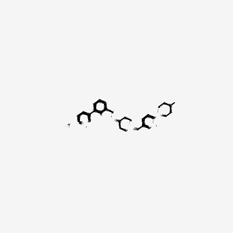 CC1CCN(c2ccc(CN3CCC(NC(=O)c4cccc(-c5ccc(OC(F)(F)F)nc5)c4F)CC3)cn2)CC1